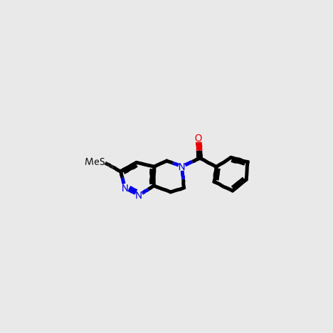 CSc1cc2c(nn1)CCN(C(=O)c1ccccc1)C2